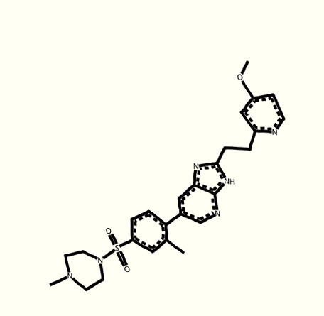 COc1ccnc(CCc2nc3cc(-c4ccc(S(=O)(=O)N5CCN(C)CC5)cc4C)cnc3[nH]2)c1